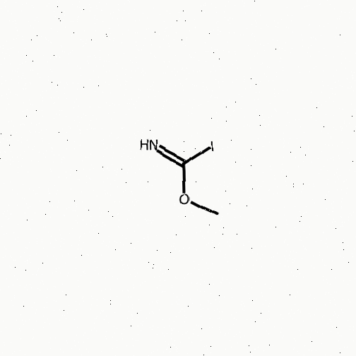 COC(=N)I